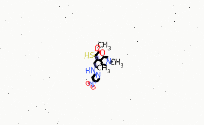 COC(=O)/C(S)=C(/C=C(\C)Nc1cc([N+](=O)[O-])ccn1)C1CCN(C)CC1